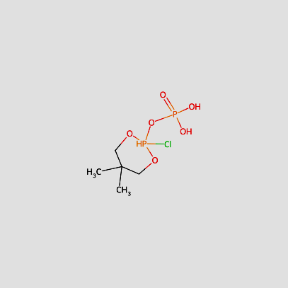 CC1(C)CO[PH](Cl)(OP(=O)(O)O)OC1